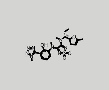 CC[C@H](C1CC=C(C)O1)N(C)C1=NS(=O)(=O)N=C1N(C)c1cccc(-c2nnnn2C)c1O